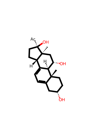 CC(=O)[C@@]1(O)CC[C@H]2C3=CC=C4C[C@@H](O)CC[C@@]4(C)[C@@H]3[C@@H](O)C[C@@]21C